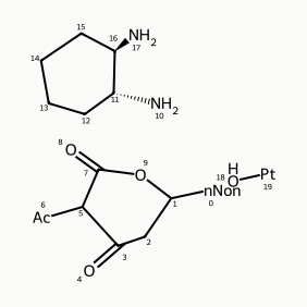 CCCCCCCCCC1CC(=O)C(C(C)=O)C(=O)O1.N[C@@H]1CCCC[C@H]1N.[OH][Pt]